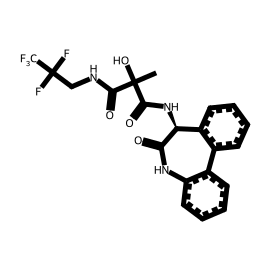 CC(O)(C(=O)NCC(F)(F)C(F)(F)F)C(=O)N[C@@H]1C(=O)Nc2ccccc2-c2ccccc21